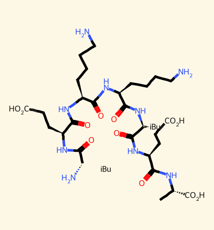 CC[C@H](C)[C@H](N)C(=O)N[C@@H](CCC(=O)O)C(=O)N[C@@H](CCCCN)C(=O)N[C@@H](CCCCN)C(=O)N[C@H](C(=O)N[C@@H](CCC(=O)O)C(=O)N[C@@H](C)C(=O)O)[C@@H](C)CC